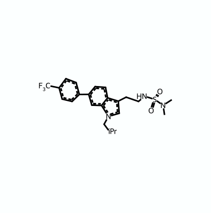 CC(C)Cn1cc(CCNS(=O)(=O)N(C)C)c2ccc(-c3ccc(C(F)(F)F)cc3)cc21